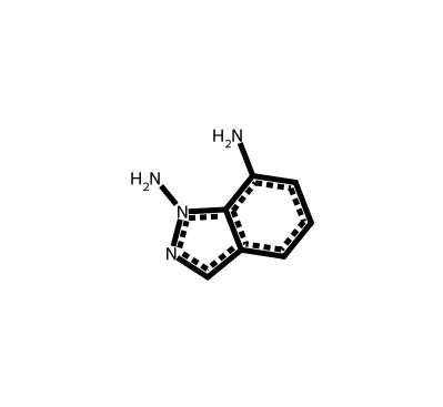 Nc1cccc2cnn(N)c12